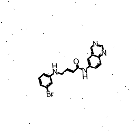 O=C(C=CCNc1cccc(Br)c1)Nc1ccc2ncncc2c1